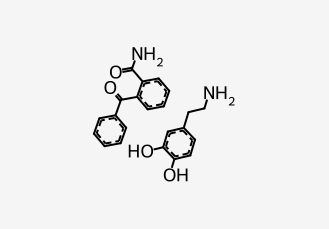 NC(=O)c1ccccc1C(=O)c1ccccc1.NCCc1ccc(O)c(O)c1